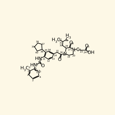 Cc1cccnc1NC(=O)Nc1ccc(CC(=O)N2CCN(CCC(=O)O)C(=O)C2CC(C)C)cc1C1CCCC1